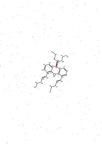 CCCC=Cc1cccc(C=CCCC)c1Oc1c(C=CCCC)cccc1C=CCCC